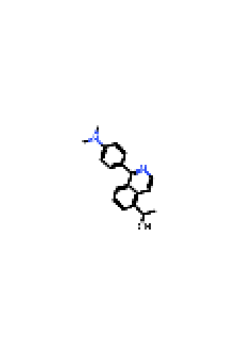 CC(C#N)c1cccc2c(-c3ccc(N(C)C)cc3)nccc12